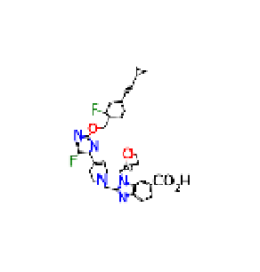 O=C(O)c1ccc2nc(CN3CC=C(c4nc(OCc5ccc(C#CC6CC6)cc5F)ncc4F)CC3)n(C[C@@H]3CCO3)c2c1